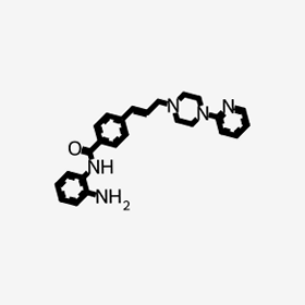 Nc1ccccc1NC(=O)c1ccc(C=CCN2CCN(c3ccccn3)CC2)cc1